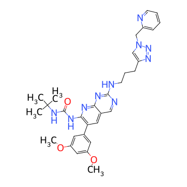 COc1cc(OC)cc(-c2cc3cnc(NCCCc4cn(Cc5ccccn5)nn4)nc3nc2NC(=O)NC(C)(C)C)c1